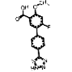 COc1cc(F)c(-c2ccc(-c3nn[nH]n3)cc2)cc1C(=O)O